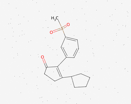 CS(=O)(=O)c1cccc(C2=C(C3CCCC3)CCC2=O)c1